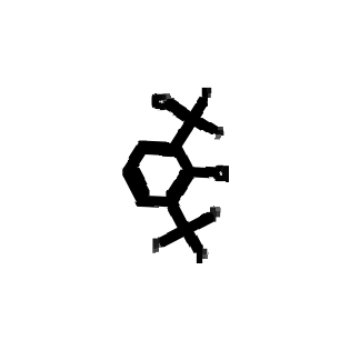 FC(F)(F)c1cccc(C(F)(F)Cl)c1Cl